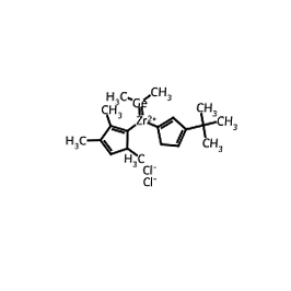 CC1=CC(C)[C]([Zr+2]([C]2=CC(C(C)(C)C)=CC2)=[Ge]([CH3])[CH3])=C1C.[Cl-].[Cl-]